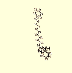 c1ccc(CCCCCCCCCCCc2nc3ccccc3[nH]2)cc1